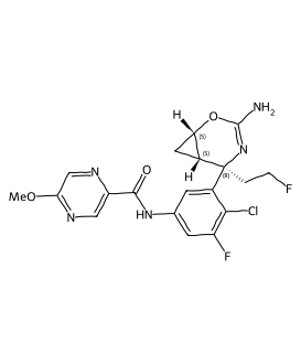 COc1cnc(C(=O)Nc2cc(F)c(Cl)c([C@]3(CCF)N=C(N)O[C@H]4C[C@H]43)c2)cn1